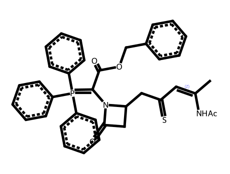 CC(=O)N/C(C)=C\C(=S)CC1CC(=O)N1C(C(=O)OCc1ccccc1)=P(c1ccccc1)(c1ccccc1)c1ccccc1